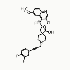 COc1ccc2ncc(Cl)c([C@H](F)CCC3(C(=O)O)CCN(CC#Cc4ccc(F)c(F)c4)CC3)c2c1